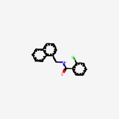 O=C(NCc1cccc2ccccc12)c1ccccc1Cl